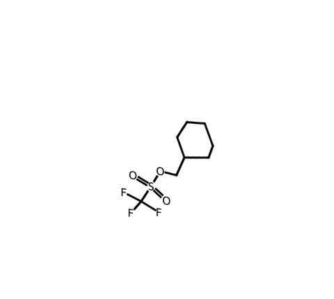 O=S(=O)(OCC1CCCCC1)C(F)(F)F